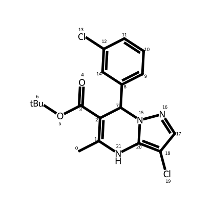 CC1=C(C(=O)OC(C)(C)C)C(c2cccc(Cl)c2)n2ncc(Cl)c2N1